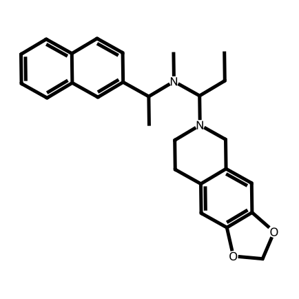 CCC(N1CCc2cc3c(cc2C1)OCO3)N(C)C(C)c1ccc2ccccc2c1